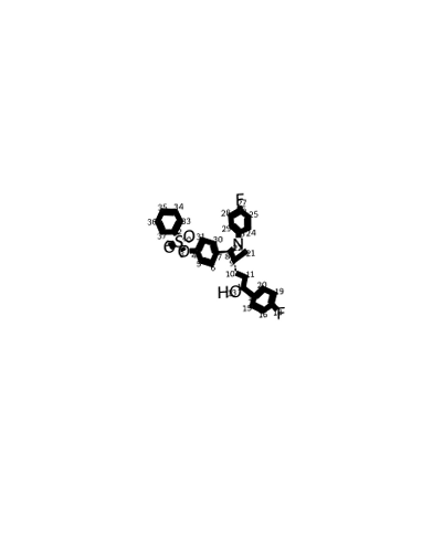 O=S(=O)(Oc1ccc([C@@H]2[C@@H](CC[C@H](O)c3ccc(F)cc3)CN2c2ccc(F)cc2)cc1)c1ccccc1